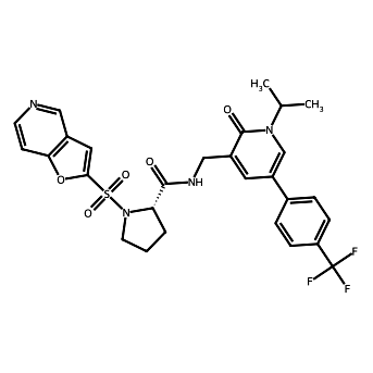 CC(C)n1cc(-c2ccc(C(F)(F)F)cc2)cc(CNC(=O)[C@@H]2CCCN2S(=O)(=O)c2cc3cnccc3o2)c1=O